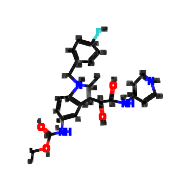 CCOC(=O)Nc1ccc2c(c1)c(C(=O)C(=O)Nc1ccncc1)c(C)n2Cc1ccc(F)cc1